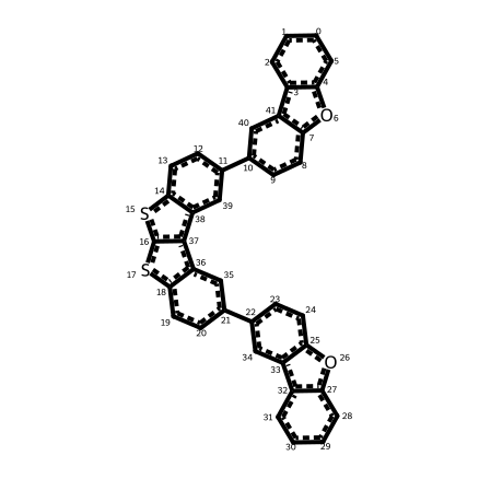 c1ccc2c(c1)oc1ccc(-c3ccc4sc5sc6ccc(-c7ccc8oc9ccccc9c8c7)cc6c5c4c3)cc12